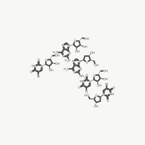 Nc1nc(N)c2ncn([C@@H]3O[C@H](CO)[C@@H](O)[C@H]3O)c2n1.Nc1nc(N)c2ncn([C@H]3C[C@H](O)[C@@H](CO)O3)c2n1.O=c1[nH]c(=O)n([C@@H]2O[C@H](CO)[C@@H](O)[C@H]2O)cc1Br.O=c1[nH]c(=O)n([C@@H]2O[C@H](CO)[C@@H](O)[C@H]2O)cc1Cl.O=c1[nH]c(=O)n([C@H]2C[C@H](O)[C@@H](CO)O2)cc1Br